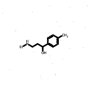 CCNCCC(O)c1ccc(C)cc1